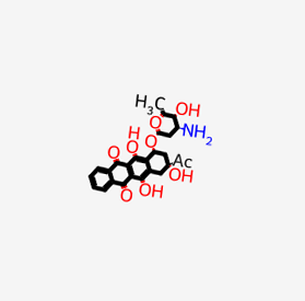 CC(=O)[C@]1(O)Cc2c(O)c3c(c(O)c2[C@@H](O[C@H]2C[C@@H](N)[C@H](O)C(C)O2)C1)C(=O)c1ccccc1C3=O